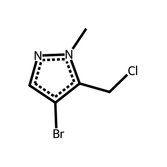 Cn1ncc(Br)c1CCl